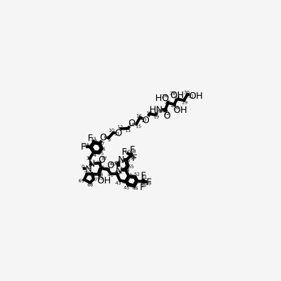 CN1N(Cc2ccc(OCCOCCOCCOCCNC(=O)C(O)C(O)C(O)CCO)c(F)c2F)C(=O)C(C(=O)CCCc2ccc(C(F)(F)F)cc2-c2cc(C(F)(F)F)ncn2)=C(O)C12CCCC2